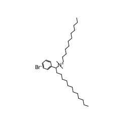 CCCCCCCCCCCCC(c1ccccc1)[N+](C)(C)CCCCCCCCCCCC.[Br-]